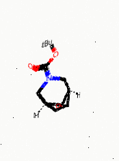 CC(C)(C)OC(=O)N1C[C@H]2CC[C@@H](C1)C21CO1